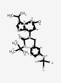 CC(C)c1cnc2c(N(Cc3cccc(OC(F)(F)F)c3)C(=O)OC(C)(C)C)cc(Cl)nn12